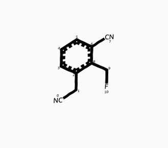 N#CCc1cccc(C#N)c1CF